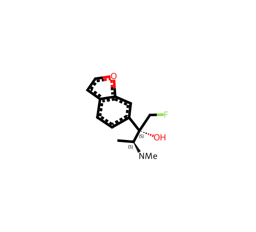 CN[C@@H](C)[C@](O)(CF)c1ccc2ccoc2c1